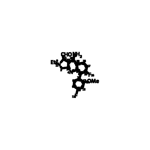 CCN1Cc2nc3c(-c4ccc(F)cc4OC)c(F)ccc3c(N)c2C1C=O